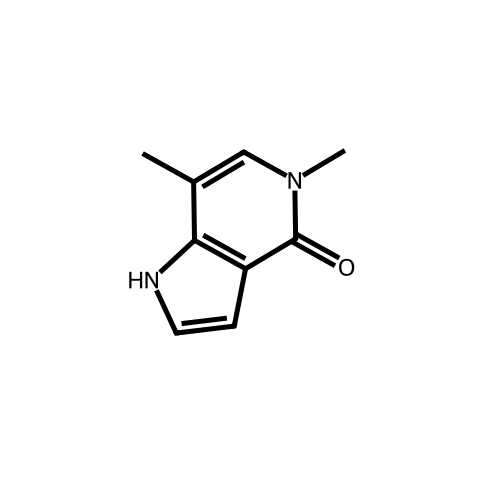 Cc1cn(C)c(=O)c2cc[nH]c12